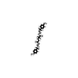 CC(C)c1ccc(C(C)(C)OOOC(=O)CCC(C)(C)C(=O)OOOC(C)(C)c2ccc(C(C)C)cc2)cc1